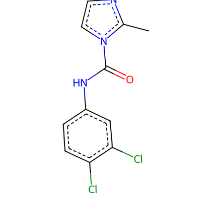 Cc1nccn1C(=O)Nc1ccc(Cl)c(Cl)c1